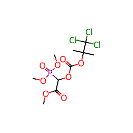 COC(=O)C(OC(=O)OC(C)(C)C(Cl)(Cl)Cl)P(=O)(OC)OC